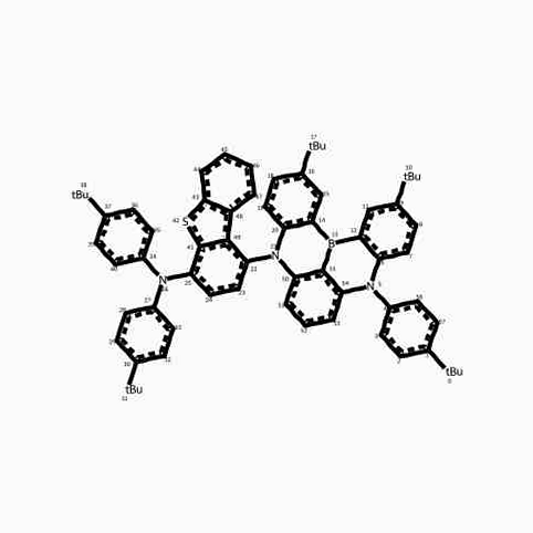 CC(C)(C)c1ccc(N2c3ccc(C(C)(C)C)cc3B3c4cc(C(C)(C)C)ccc4N(c4ccc(N(c5ccc(C(C)(C)C)cc5)c5ccc(C(C)(C)C)cc5)c5sc6ccccc6c45)c4cccc2c43)cc1